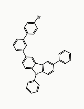 Brc1ccc(-c2cccc(-c3ccc4c(c3)c3cc(-c5ccccc5)ccc3n4-c3ccccc3)c2)cc1